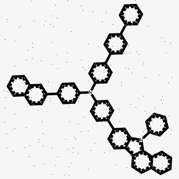 c1ccc(-c2ccc(-c3ccc(N(c4ccc(-c5ccc6ccccc6c5)cc4)c4ccc(-c5ccc6c7ccc8ccccc8c7n(-c7ccccc7)c6c5)cc4)cc3)cc2)cc1